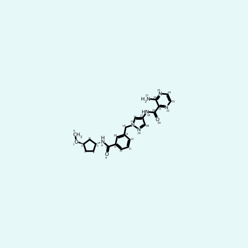 CO[C@@H]1CC[C@@H](NC(=O)c2cccc(Cn3cc(NC(=O)c4nccnc4N)cn3)c2)C1